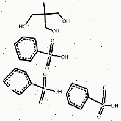 CC(CO)(CO)CO.O=S(=O)(O)c1ccccc1.O=S(=O)(O)c1ccccc1.O=S(=O)(O)c1ccccc1